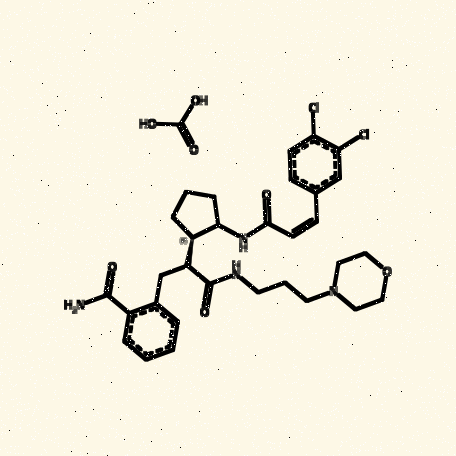 NC(=O)c1ccccc1CC(C(=O)NCCCN1CCOCC1)[C@H]1CCCC1NC(=O)C=Cc1ccc(Cl)c(Cl)c1.O=C(O)O